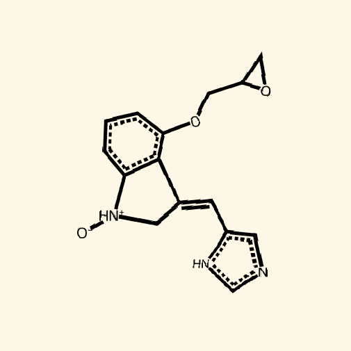 [O-][NH+]1CC(=Cc2cnc[nH]2)c2c(OCC3CO3)cccc21